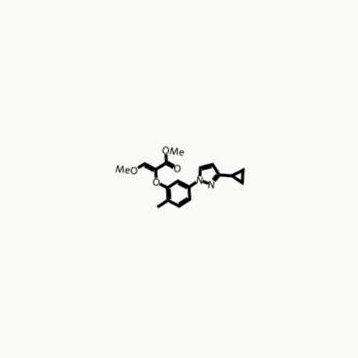 CO/C=C(\Oc1cc(-n2ccc(C3CC3)n2)ccc1C)C(=O)OC